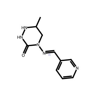 CC1CN(/N=C/c2cccnc2)C(=O)NN1